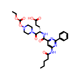 CCCCC(=O)Nc1cc(C(=O)N[C@@H](CCC(=O)O)C(=O)N2CCN(OC(=O)OCC)CC2)nc(-c2ccccc2)n1